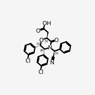 N#C[C@H](c1ccccc1)N1C(=O)[C@H](CC(=O)O)O[C@@H](c2cccc(Cl)c2)[C@H]1c1ccc(Cl)cc1